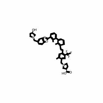 Cc1cc(/C=C/c2cccc(-c3cccc(-c4nc5cc(CN6CC[C@@H](O)C6)ccc5o4)c3C)c2C)c(C(F)(F)F)cc1CN1CC[C@@H](C(=O)O)C1